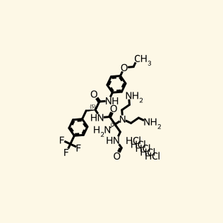 CCOc1ccc(NC(=O)[C@H](Cc2ccc(C(F)(F)F)cc2)NC(=O)[C@](N)(CNC=O)N(CCN)CCN)cc1.Cl.Cl.Cl.Cl.Cl